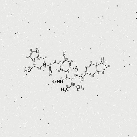 CC(=O)NC(C(C(=O)Nc1ccc2[nH]ncc2c1)=C(C)C)c1ccc(F)c(CC(=O)N(CCO)Cc2ccco2)c1